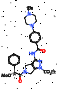 CCOC(=O)n1nc(NC(=O)c2ccc(N3CCN(C(C)(C)C)CC3)cc2)c2c1CN(C(=O)[C@H](OC)c1ccccc1)C2